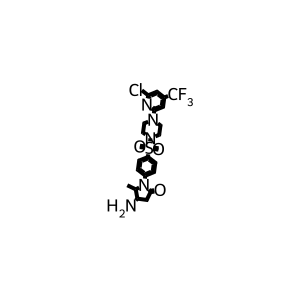 CC1C(N)CC(=O)N1c1ccc(S(=O)(=O)N2CCN(c3cc(C(F)(F)F)cc(Cl)n3)CC2)cc1